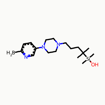 Bc1ccc(N2CCN(CCCC(C)(C)[Si](C)(C)O)CC2)cn1